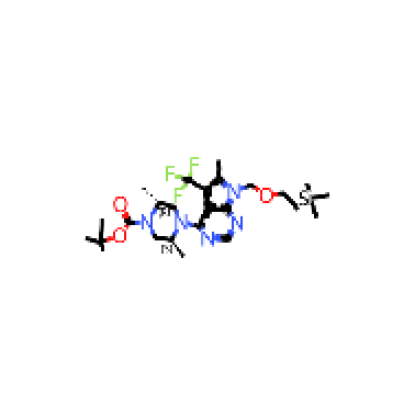 Cc1c(C(F)(F)F)c2c(N3C[C@@H](C)N(C(=O)OC(C)(C)C)C[C@@H]3C)ncnc2n1COCC[Si](C)(C)C